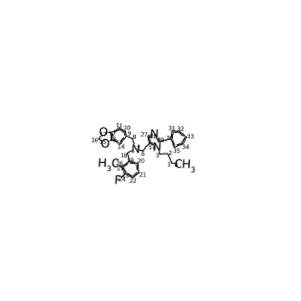 CCCCn1c(CN(Cc2ccc3c(c2)OCO3)Cc2cccc(F)c2C)cnc1-c1ccccc1